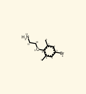 Cc1cc(Br)cc(C)c1OCCN